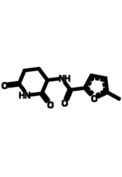 Cc1ccc(C(=O)NC2CCC(=O)NC2=O)o1